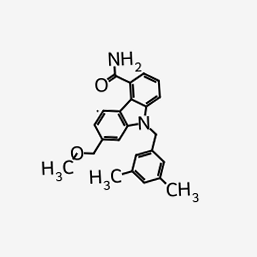 COCc1c[c]c2c3c(C(N)=O)cccc3n(Cc3cc(C)cc(C)c3)c2c1